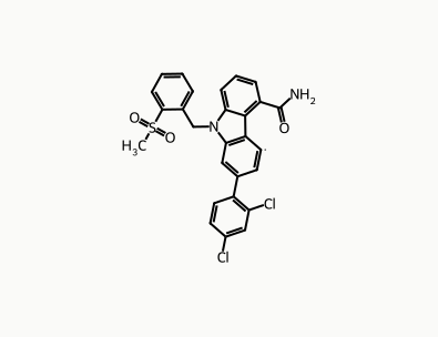 CS(=O)(=O)c1ccccc1Cn1c2cc(-c3ccc(Cl)cc3Cl)c[c]c2c2c(C(N)=O)cccc21